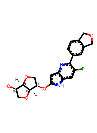 O[C@@H]1CO[C@H]2[C@@H]1OC[C@H]2Oc1cc2nc(-c3ccc4c(c3)COC4)c(F)cc2[nH]1